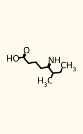 CCC(C)C(=N)CCCC(=O)O